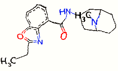 CCc1nc2c(C(=O)NC3CC4CCCC(C3)N4C)cccc2o1